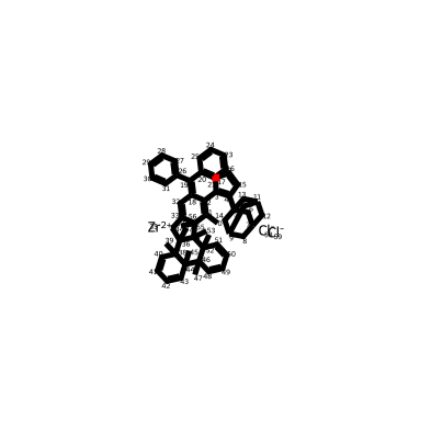 CC1=C(C2=C(C34CC5CC(CC(C5)C3)C4)C=CC2)C(=C(c2ccccc2)c2ccccc2)C=C2[CH]([Zr+2])C3(C)C4(C)C=CC=CC4(C)C4(C)C=CC=CC4(C)C3(C)C21C.[Cl-].[Cl-]